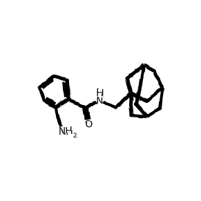 Nc1ccccc1C(=O)NCC12CC3CC(CC(C3)C1)C2